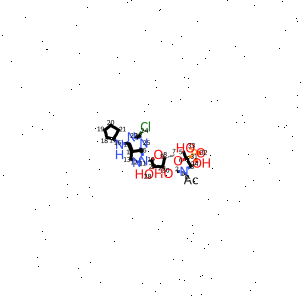 CC(=O)N(C)CC(C)(OC[C@H]1O[C@@H](n2ncc3c(NC4CCCC4)nc(Cl)nc32)[C@H](O)[C@@H]1O)P(=O)(O)O